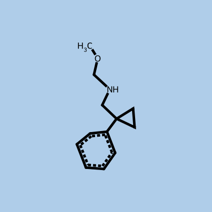 COCNCC1(c2ccccc2)CC1